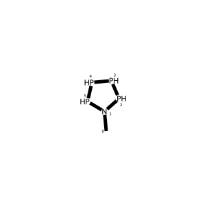 Cn1[pH][pH][pH][pH]1